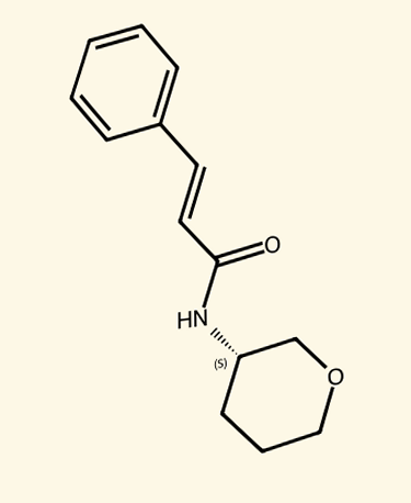 O=C(C=Cc1ccccc1)N[C@H]1CCCOC1